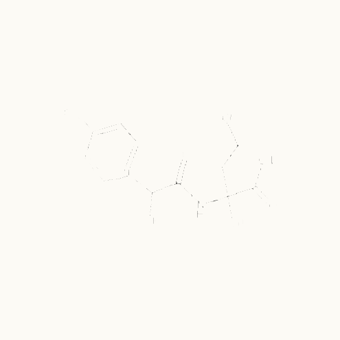 CCCC(C)(NC(=O)C(C)c1ccc(Cl)cc1)C(C)=O